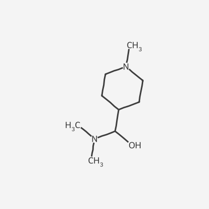 CN1CCC(C(O)N(C)C)CC1